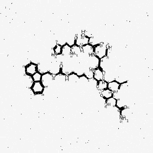 CC(C)C[C@H](NC(=O)[C@H](CCCCNC(=O)OCC1c2ccccc2-c2ccccc21)NC(=O)[C@H](CO)NC(=O)[C@H](CO)NC(=O)[C@@H](N)Cc1c[nH]cn1)C(=O)N[C@@H](CCC(N)=O)C(=O)O